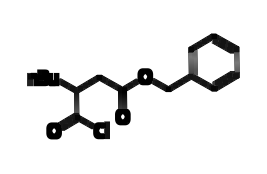 CCCCC(CC(=O)OCc1ccccc1)C(=O)Cl